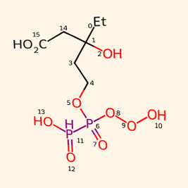 CCC(O)(CCOP(=O)(OOO)[PH](=O)O)CC(=O)O